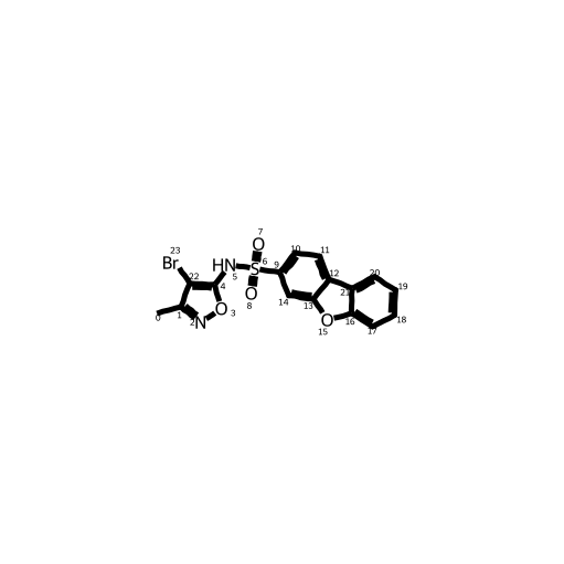 Cc1noc(NS(=O)(=O)c2ccc3c(c2)oc2ccccc23)c1Br